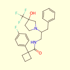 O=C(NCC(Cc1ccccc1)N1CCC(O)(C(F)(F)F)C1)C1(c2ccc(F)cc2)CCC1